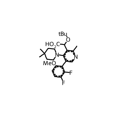 COc1ccc(F)c(F)c1-c1cnc(C)c(C(OC(C)(C)C)C(=O)O)c1N1CCC(C)(C)CC1